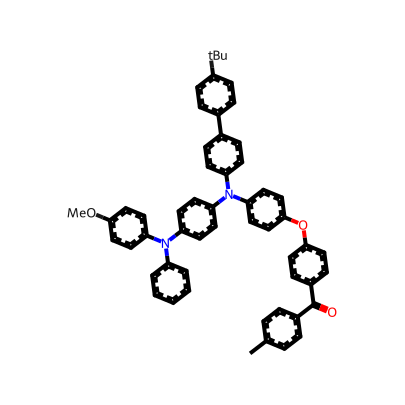 COc1ccc(N(c2ccccc2)c2ccc(N(c3ccc(Oc4ccc(C(=O)c5ccc(C)cc5)cc4)cc3)c3ccc(-c4ccc(C(C)(C)C)cc4)cc3)cc2)cc1